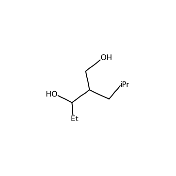 CCC(O)C(CO)CC(C)C